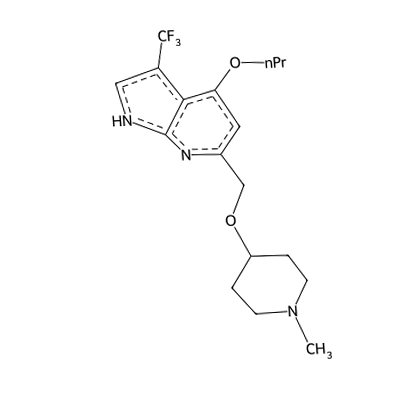 CCCOc1cc(COC2CCN(C)CC2)nc2[nH]cc(C(F)(F)F)c12